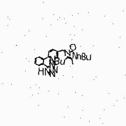 CCCCc1c(C)n(CCCC)c(=O)n1Cc1ccc(-c2ccccc2-c2nnn[nH]2)nc1